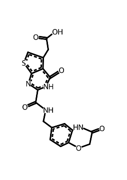 O=C(O)Cc1csc2nc(C(=O)NCc3ccc4c(c3)NC(=O)CO4)[nH]c(=O)c12